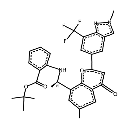 Cc1cc([C@@H](C)Nc2ccccc2C(=O)OC(C)(C)C)c2oc(-c3cc(C(F)(F)F)c4nn(C)cc4c3)cc(=O)c2c1